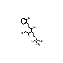 CC(C)(C)OC(=O)C(CCO[Si](C)(C)C(C)(C)C)C(O)CCc1ccccc1Br